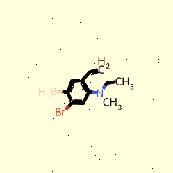 Bc1cc(C=C)c(N(C)CC)cc1Br